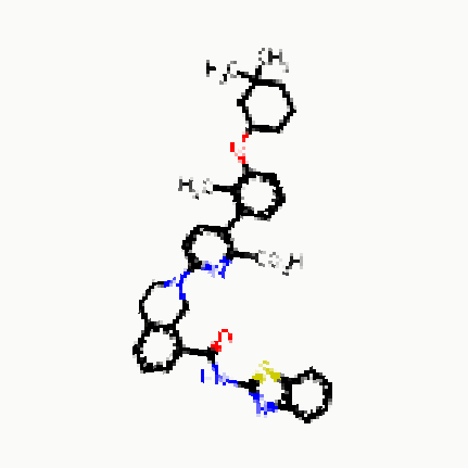 Cc1c(OC2CCCC(C)(C)C2)cccc1-c1ccc(N2CCc3cccc(C(=O)Nc4nc5ccccc5s4)c3C2)nc1C(=O)O